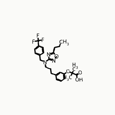 CCCc1nc(N(CCCc2cccc(OC(C)(C)C(=O)O)c2)Cc2ccc(C(F)(F)F)cc2)no1